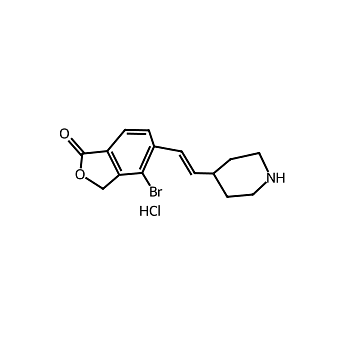 Cl.O=C1OCc2c1ccc(C=CC1CCNCC1)c2Br